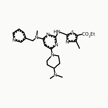 CCOC(=O)c1sc(Nc2nc(N(C)Cc3cccnc3)cc(N3CCC(N(C)C)CC3)n2)nc1C